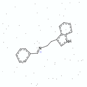 C(=N\CCc1c[nH]c2ccccc12)/c1ccccc1